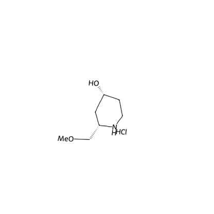 COC[C@@H]1C[C@H](O)CCN1.Cl